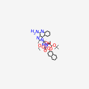 CCOCc1nc2c(N)nc3ccccc3c2n1[C@@](C)(O)CO[P@@](=O)(N[C@@H](C)C(=O)OC(C)(C)C)Oc1ccc2ccccc2c1